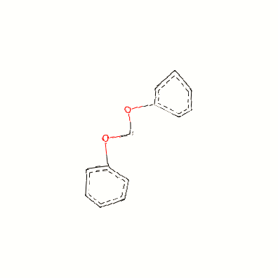 [C](Oc1ccccc1)Oc1ccccc1